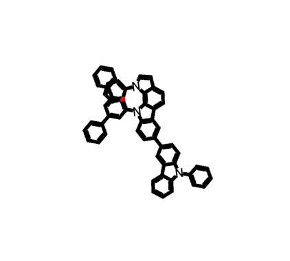 c1ccc(-c2cc(-c3ccccc3)cc(-n3c4ccc(-c5ccc6c(c5)c5ccccc5n6-c5ccccc5)cc4c4ccc5ccn(-c6ccccc6)c5c43)c2)cc1